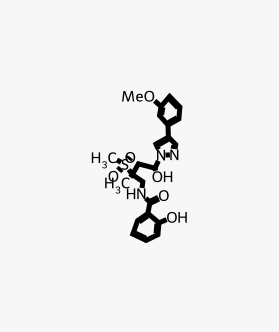 COc1cccc(-c2cnn(C(O)CC(C)(CNC(=O)c3ccccc3O)S(C)(=O)=O)c2)c1